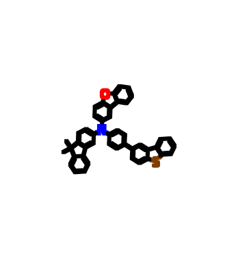 CC1(C)c2ccccc2-c2cc(N(c3ccc(-c4ccc5sc6ccccc6c5c4)cc3)c3ccc4oc5ccccc5c4c3)ccc21